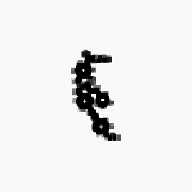 CCCCc1ccc(C#Cc2ccc(CN(Cc3ccc(C(=O)OC)cc3)C(CC)CCC3CCCC3)cc2)cc1